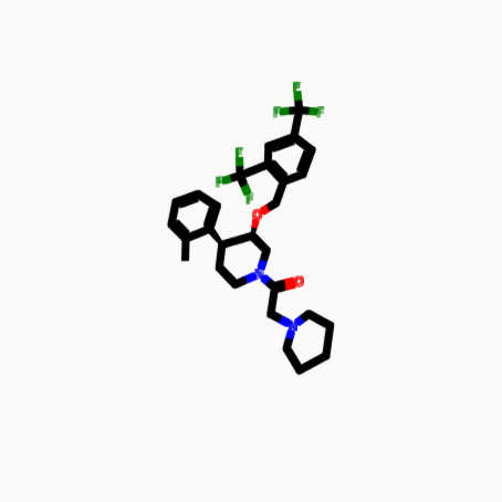 Cc1ccccc1[C@@H]1CCN(C(=O)CN2CCCCC2)C[C@@H]1OCc1ccc(C(F)(F)F)cc1C(F)(F)F